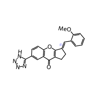 COc1ccccc1/C=C1\CCc2c1oc1ccc(-c3nnn[nH]3)cc1c2=O